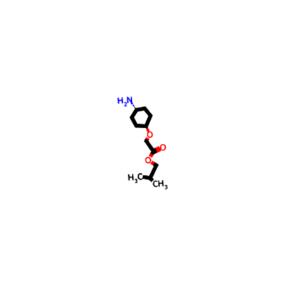 CC(C)COC(=O)CO[C@H]1CC[C@H](N)CC1